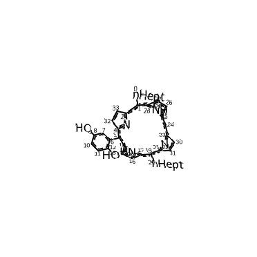 CCCCCCCc1c2nc(c(-c3cc(O)ccc3O)c3ccc([nH]3)c(CCCCCCC)c3nc(cc4ccc1[nH]4)C=C3)C=C2